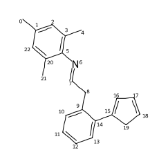 Cc1cc(C)c(N=CCc2ccccc2C2=CC=CC2)c(C)c1